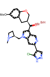 Br.Br.COc1ccc2c(c1)C[C@H](C(=O)c1cn(C[C@@H]3CCN3C)c3cc(-c4cn[nH]c4Cl)ncc13)CO2